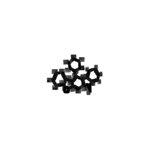 Cn1c2ccccc2c2c(C3CCCCC3)c3c(cc21)oc1ccccc13